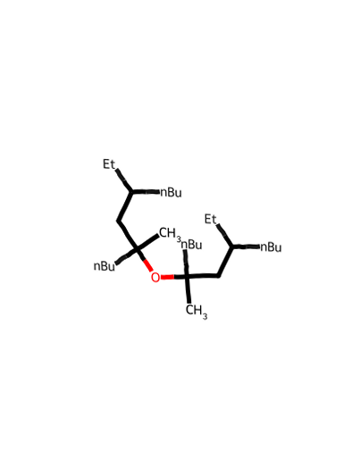 CCCCC(CC)CC(C)(CCCC)OC(C)(CCCC)CC(CC)CCCC